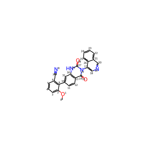 COc1cccc(C#N)c1-c1ccc2c(=O)n(-c3cncc4ccccc34)c(=O)[nH]c2c1